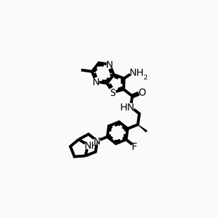 Cc1cnc2c(N)c(C(=O)NC[C@@H](C)c3ccc(N4CC5CCC(C4)N5)cc3F)sc2n1